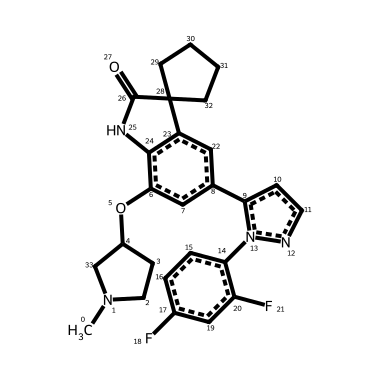 CN1CCC(Oc2cc(-c3ccnn3-c3ccc(F)cc3F)cc3c2NC(=O)C32CCCC2)C1